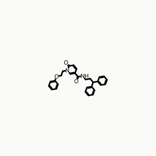 O=C(NCCC(c1ccccc1)c1ccccc1)c1ccc(=O)n(CCOc2ccccc2)c1